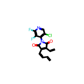 C=C/C=C\C1=C(C=C)C(=O)N(c2c(Cl)cnc(F)c2F)C1=O